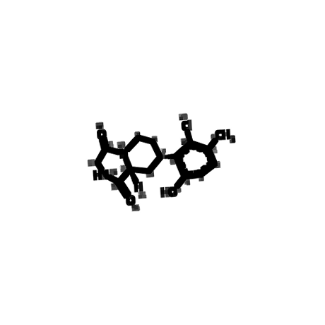 Cc1ccc(O)c([C@H]2CCN3C(=O)CNC(=O)[C@H]3C2)c1Cl